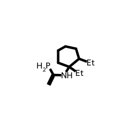 C=C(P)NC1(CC)CCCCC1CC